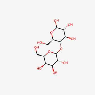 OC[C@H]1OC(O[C@H]2[C@H](O)[C@@H](O)C(O)O[C@@H]2CO)[C@H](O)[C@@H](O)[C@H]1O